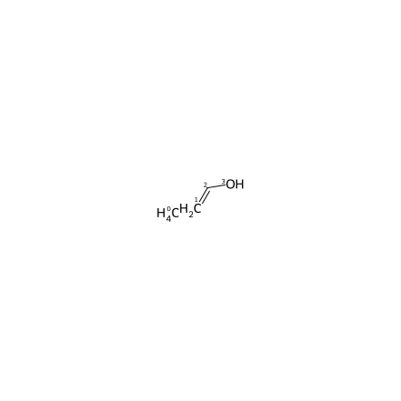 C.C=CO